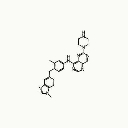 Cc1cc(Nc2ncnc3cnc(N4CCNCC4)nc23)ccc1Cc1ccc2c(c1)ncn2C